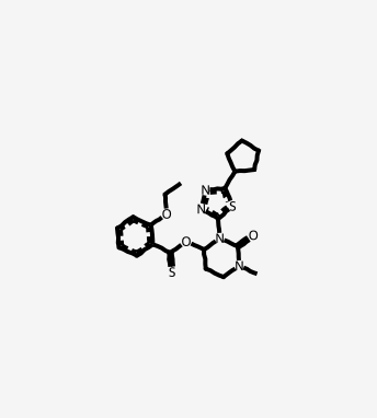 CCOc1ccccc1C(=S)OC1CCN(C)C(=O)N1c1nnc(C2CCCC2)s1